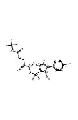 CC(C)(C)OC(=O)NCC(=O)N1Cc2nc(-c3ccc(F)cc3)c(Br)n2C(C)(C)C1